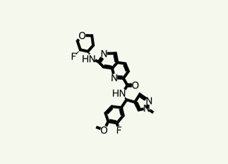 COc1ccc([C@H](NC(=O)c2ccc3cnc(N[C@H]4CCOC[C@H]4F)cc3n2)c2cnn(C)c2)cc1F